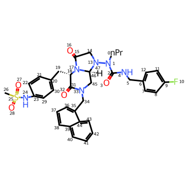 CCCN(C(=O)NCc1ccc(F)cc1)N1CC(=O)N2[C@@H](Cc3ccc(NS(C)(=O)=O)cc3)C(=O)N(Cc3cccc4ccccc34)C[C@@H]21